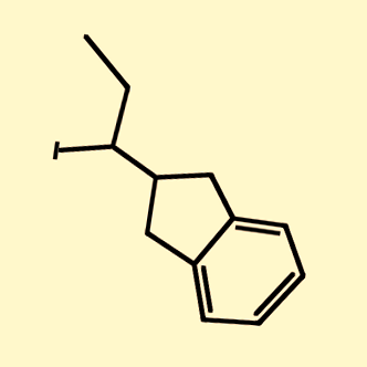 CCC(I)C1Cc2ccccc2C1